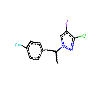 CC(c1ccc(F)cc1)n1cc(I)c(Cl)n1